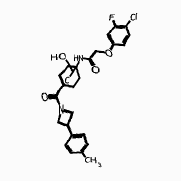 Cc1ccc(C2CN(C(=O)C34CCC(NC(=O)COc5ccc(Cl)c(F)c5)(CC3)C(O)C4)C2)cc1